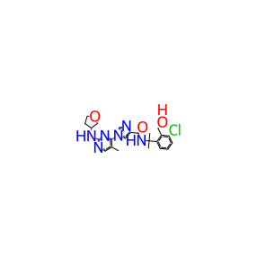 Cc1cnc(NC2CCOC2)nc1-n1cnc(C(=O)NC(C)(C)c2cccc(Cl)c2CO)c1